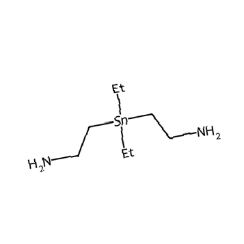 C[CH2][Sn]([CH2]C)([CH2]CN)[CH2]CN